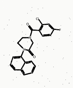 O=C(c1ccc(F)cc1Cl)N1CCN(c2cccc3ccccc23)C(=O)C1